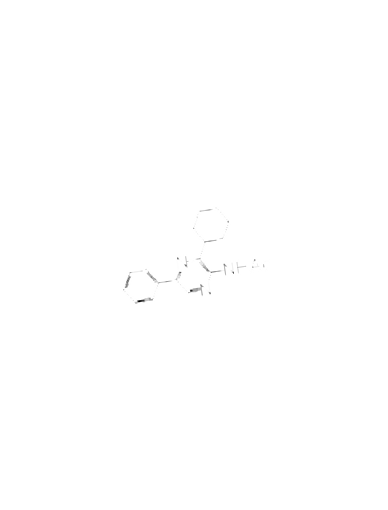 CC(=O)Nc1ncc(-c2ccccc2)nc1C1CCCCC1